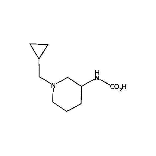 O=C(O)NC1CCCN(CC2CC2)C1